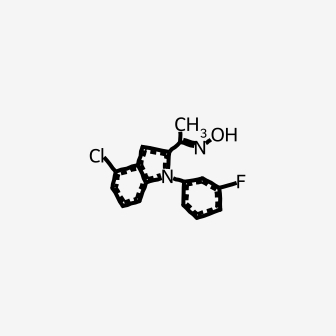 C/C(=N\O)c1cc2c(Cl)cccc2n1-c1cccc(F)c1